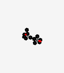 CC1(C)c2ccccc2-c2c(N(c3ccc(-c4ccccc4)cc3)c3ccc(-c4cc5c6c(c4)-c4ccccc4N(c4ccccc4)B6N(c4ccccc4)c4ccccc4-5)cc3)cccc21